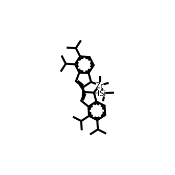 CC1=Cc2c(ccc(C(C)C)c2C(C)C)[CH]1[Zr]([CH3])([CH3])([CH]1C(C)=Cc2c1ccc(C(C)C)c2C(C)C)[SiH](C)C